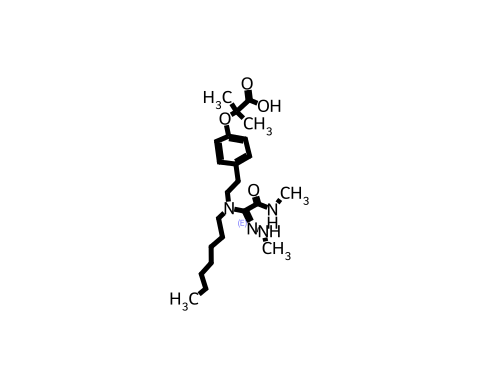 CCCCCCCN(CCc1ccc(OC(C)(C)C(=O)O)cc1)/C(=N/NC)C(=O)NC